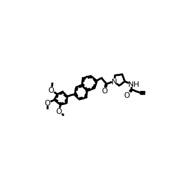 C#CC(=O)NC1CCN(C(=O)Cc2ccc3cc(-c4cc(OC)c(OC)c(OC)c4)ccc3c2)C1